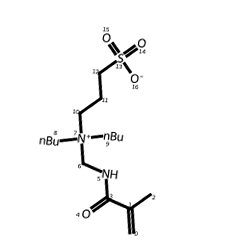 C=C(C)C(=O)NC[N+](CCCC)(CCCC)CCCS(=O)(=O)[O-]